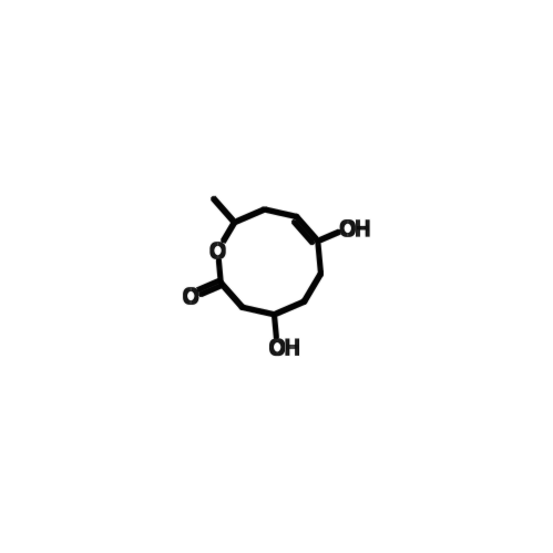 CC1C/C=C(/O)CCC(O)CC(=O)O1